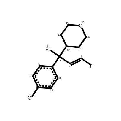 [CH2]C=CC(CC)(c1ccc(Cl)cc1)C1CCOCC1